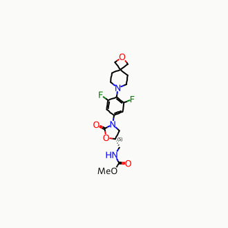 COC(=O)NC[C@H]1CN(c2cc(F)c(N3CCC4(CC3)COC4)c(F)c2)C(=O)O1